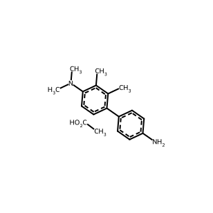 CC(=O)O.Cc1c(-c2ccc(N)cc2)ccc(N(C)C)c1C